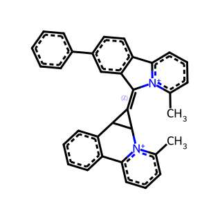 Cc1cccc2[n+]1/C(=C1/C3c4ccccc4-c4cccc(C)[n+]4C13)c1cc(-c3ccccc3)ccc1-2